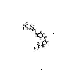 CC(=O)Nc1nc(CCc2ccc(CN3CCC(NC(=O)O)C3)cc2)cs1